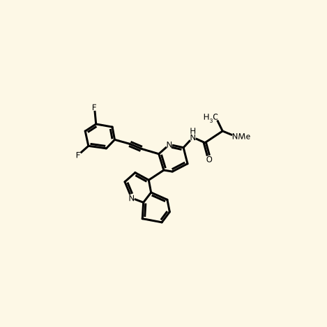 CNC(C)C(=O)Nc1ccc(-c2ccnc3ccccc23)c(C#Cc2cc(F)cc(F)c2)n1